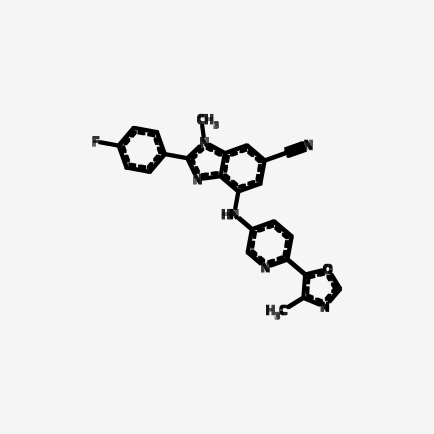 Cc1ncoc1-c1ccc(Nc2cc(C#N)cc3c2nc(-c2ccc(F)cc2)n3C)cn1